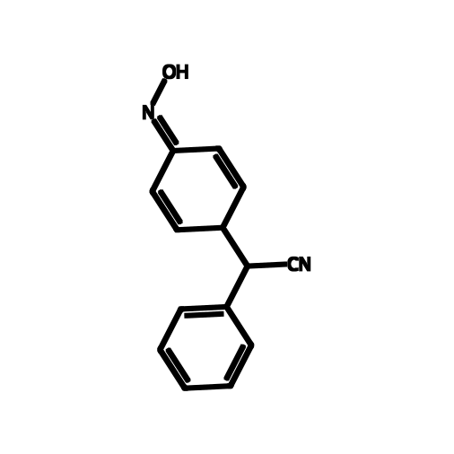 N#CC(c1ccccc1)C1C=CC(=NO)C=C1